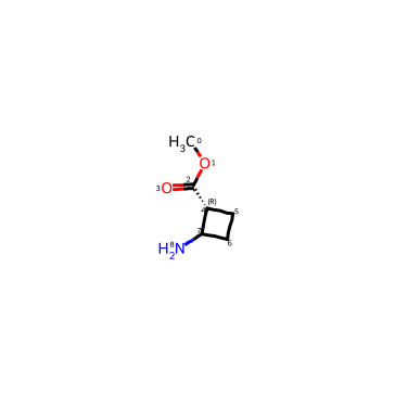 COC(=O)[C@@H]1CCC1N